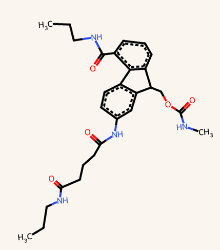 CCCNC(=O)CCCC(=O)Nc1ccc2c(c1)C(COC(=O)NC)c1cccc(C(=O)NCCC)c1-2